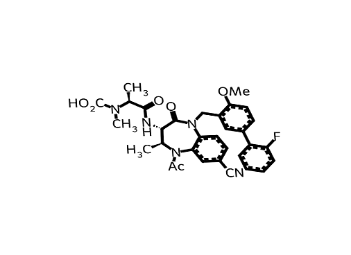 COc1ccc(-c2ccccc2F)cc1CN1C(=O)[C@@H](NC(=O)[C@H](C)N(C)C(=O)O)[C@H](C)N(C(C)=O)c2cc(C#N)ccc21